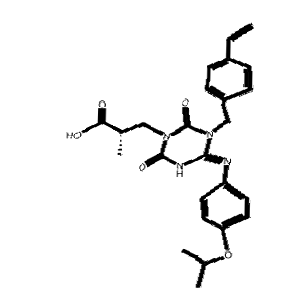 C=Cc1ccc(Cn2c(=O)n(C[C@H](C)C(=O)O)c(=O)[nH]/c2=N\c2ccc(OC(C)C)cc2)cc1